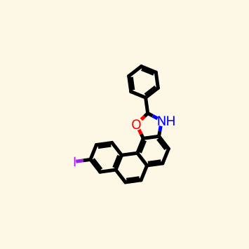 Ic1ccc2c(ccc3ccc4c(c32)OC(c2ccccc2)N4)c1